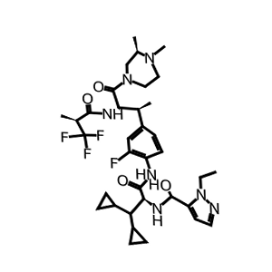 CCn1nccc1C(O)N[C@H](C(=O)Nc1ccc([C@H](C)[C@@H](NC(=O)[C@H](C)C(F)(F)F)C(=O)N2CCN(C)[C@H](C)C2)cc1F)C(C1CC1)C1CC1